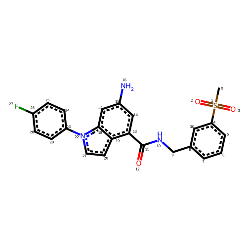 CS(=O)(=O)c1cccc(CNC(=O)c2cc(N)cc3c2ccn3-c2ccc(F)cc2)c1